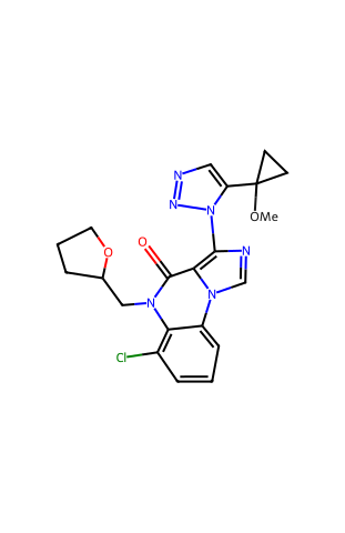 COC1(c2cnnn2-c2ncn3c2c(=O)n(CC2CCCO2)c2c(Cl)cccc23)CC1